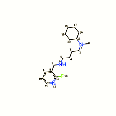 CN(CCCCNCc1cccnc1F)C1CCCCC1